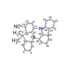 CC1(C)c2ccccc2B2c3c(ccc(C#N)c31)-n1c3ccccc3c3cccc2c31